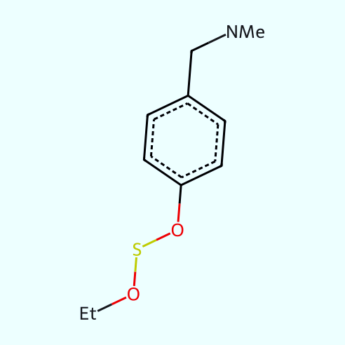 CCOSOc1ccc(CNC)cc1